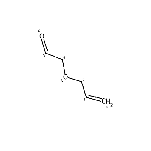 C=CCOCC=O